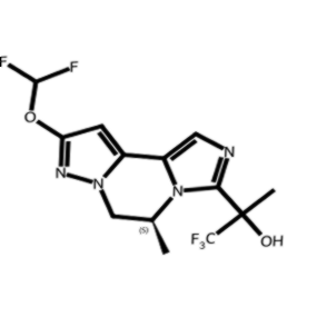 C[C@H]1Cn2nc(OC(F)F)cc2-c2cnc(C(C)(O)C(F)(F)F)n21